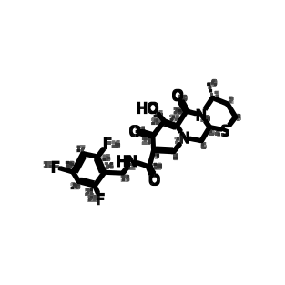 C[C@@H]1CCSC2Cn3cc(C(=O)NCc4c(F)cc(F)cc4F)c(=O)c(O)c3C(=O)N21